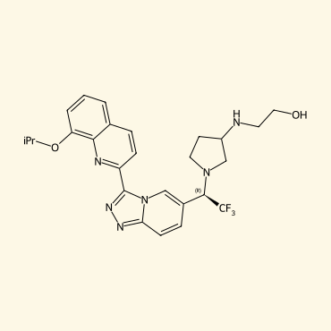 CC(C)Oc1cccc2ccc(-c3nnc4ccc([C@@H](N5CCC(NCCO)C5)C(F)(F)F)cn34)nc12